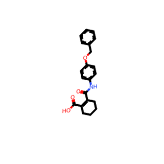 O=C(O)C1=C(C(=O)Nc2ccc(OCc3ccccc3)cc2)CCCC1